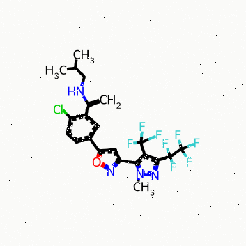 C=C(NCC(C)C)c1cc(-c2cc(-c3c(C(F)(F)F)c(C(F)(F)C(F)(F)F)nn3C)no2)ccc1Cl